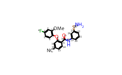 COc1cc(F)ccc1Oc1cc(C#N)ccc1C(=O)Nc1cccc(SN)c1